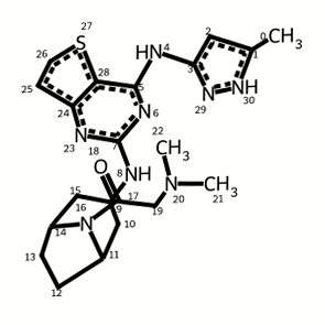 Cc1cc(Nc2nc(NC3CC4CCC(C3)N4C(=O)CN(C)C)nc3ccsc23)n[nH]1